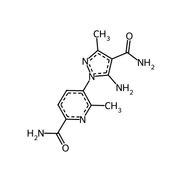 Cc1nc(C(N)=O)ccc1-n1nc(C)c(C(N)=O)c1N